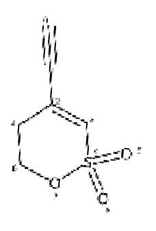 C#CC1=CS(=O)(=O)OCC1